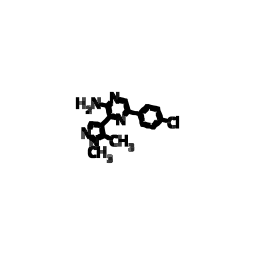 Cc1c(-c2nc(-c3ccc(Cl)cc3)cnc2N)cnn1C